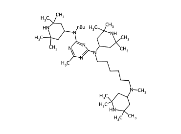 CCCCN(c1nc(C)nc(N(CCCCCCN(C)C2CC(C)(C)NC(C)(C)C2)C2CC(C)(C)NC(C)(C)C2)n1)C1CC(C)(C)NC(C)(C)C1